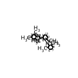 C/C(=N\c1c(C)cccc1C)c1cccc(/C(C)=N/c2c(C)cc(C)cc2Cl)n1